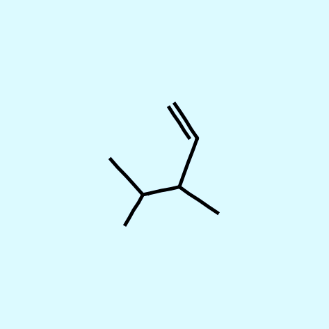 C=CC(C)[C](C)C